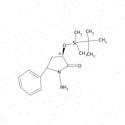 CC(C)(C)[Si](C)(C)O[C@@H]1CC(c2ccccc2)N(N)C1=O